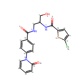 O=C(NCC(CO)NC(=O)c1ccc(Cl)s1)c1ccc(-n2ccccc2=O)cc1